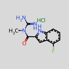 CN(C(=N)N)C(=O)c1cc2c(F)cccc2[nH]1.Cl